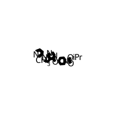 Cc1ncccc1N1CCc2c(OC3CCN(C(=O)OC(C)C)CC3)ncnc21